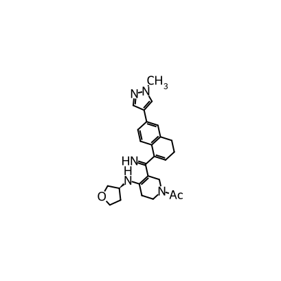 CC(=O)N1CCC(N[C@H]2CCOC2)=C(C(=N)C2=CCCc3cc(-c4cnn(C)c4)ccc32)C1